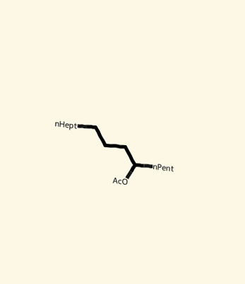 CCCCCCCCCCC(CCCCC)OC(C)=O